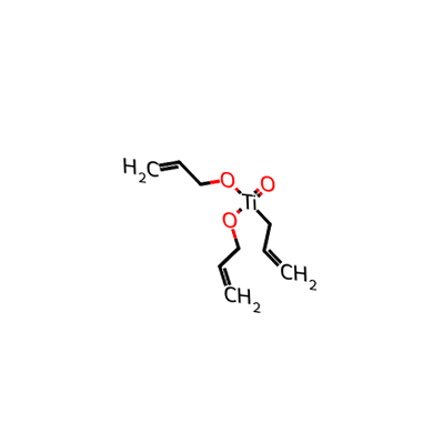 C=CC[O][Ti](=[O])([CH2]C=C)[O]CC=C